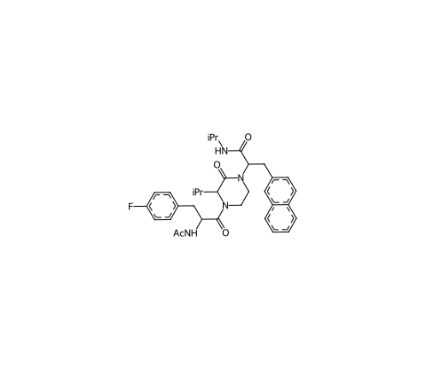 CC(=O)NC(Cc1ccc(F)cc1)C(=O)N1CCN(C(Cc2ccc3ccccc3c2)C(=O)NC(C)C)C(=O)C1C(C)C